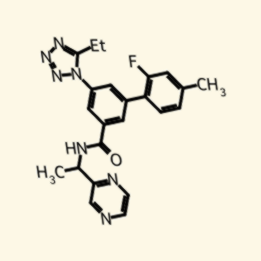 CCc1nnnn1-c1cc(C(=O)NC(C)c2cnccn2)cc(-c2ccc(C)cc2F)c1